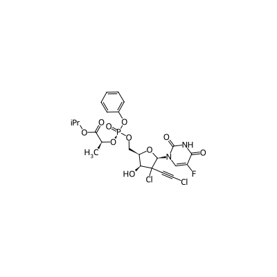 CC(C)OC(=O)[C@H](C)O[P@](=O)(OC[C@H]1O[C@@H](n2cc(F)c(=O)[nH]c2=O)C(Cl)(C#CCl)[C@H]1O)Oc1ccccc1